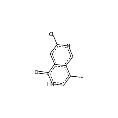 O=c1[nH]cc(F)c2cnc(Cl)cc12